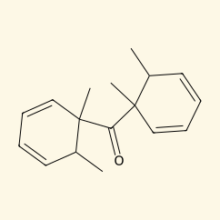 CC1C=CC=CC1(C)C(=O)C1(C)C=CC=CC1C